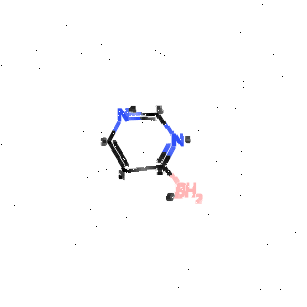 Bc1ccncn1